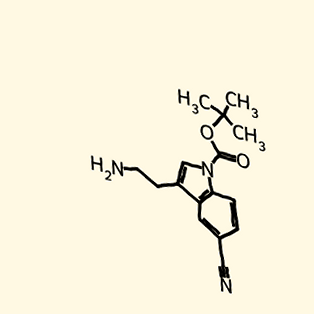 CC(C)(C)OC(=O)n1cc(CCN)c2cc(C#N)ccc21